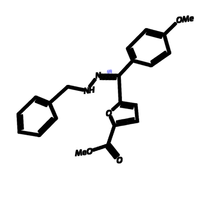 COC(=O)c1ccc(/C(=N\NCc2ccccc2)c2ccc(OC)cc2)o1